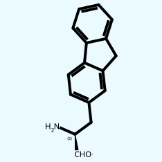 N[C@H]([C]=O)Cc1ccc2c(c1)Cc1ccccc1-2